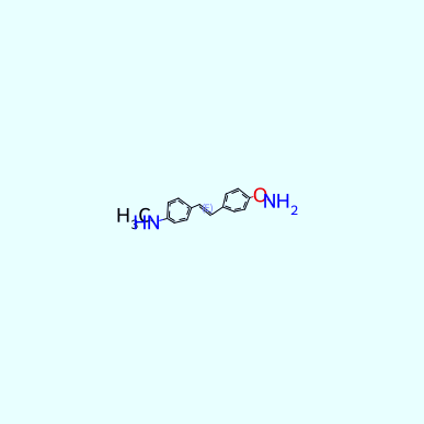 CNc1ccc(/C=C/c2ccc(ON)cc2)cc1